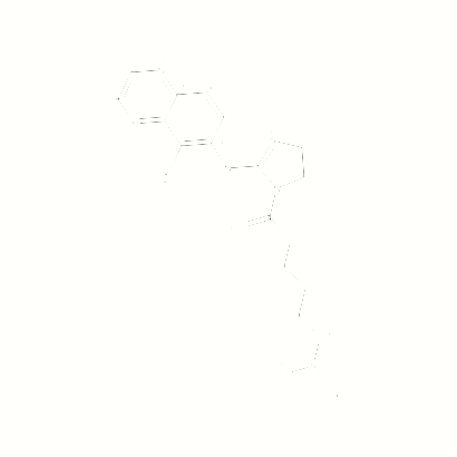 O=C(OCCCON(O)O)N1CCN=C1Nc1ccc2nccnc2c1Br